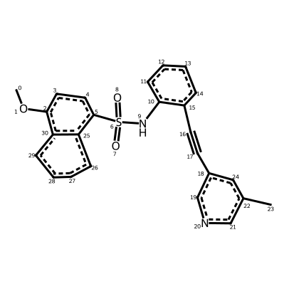 COc1ccc(S(=O)(=O)Nc2ccccc2C#Cc2cncc(C)c2)c2ccccc12